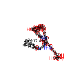 CCCCC/C=C\C/C=C\CCCCCCCCC1(CCCCCCCC/C=C\C/C=C\CCCCC)OC[C@H](CN(C)CCCCCC(=O)NC(COCCC(=O)NCCOCCOCCO[C@@H]2OOC2[C@@H](O)[C@H](O)C(C)CO)(COCCC(=O)NCCOCCOCCO[C@@H]2OC(CO)[C@@H](O)C(O)[C@H]2O)COCCC(=O)NCCOCCOCCO[C@@H]2OC(CO)[C@@H](O)C(O)[C@H]2O)O1